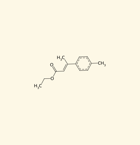 CCOC(=O)C=C(C)c1ccc(C)cc1